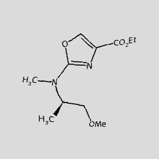 CCOC(=O)c1coc(N(C)[C@H](C)COC)n1